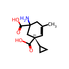 CC1=C[C@@](C(=O)O)(C2CC2)CC(N)(C(=O)O)C1